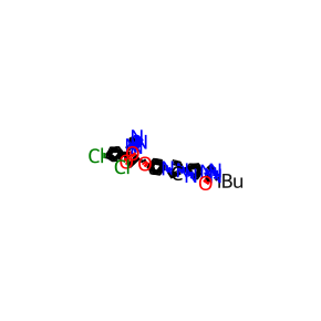 CCC(C)n1ncn(-c2ccc(N3CCN(c4ccc(OC[C@@H]5CO[C@@](Cn6cnnn6)(c6ccc(Cl)cc6Cl)O5)cc4)CC3)nc2)c1=O